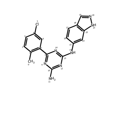 Cc1ccc(Cl)cc1-c1nc(N)nc(Nc2ccc3cn[nH]c3c2)n1